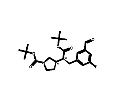 CC(C)(C)OC(=O)[C@@H](Cc1cc(F)cc(C=O)c1)[C@H]1CCN(C(=O)OC(C)(C)C)C1